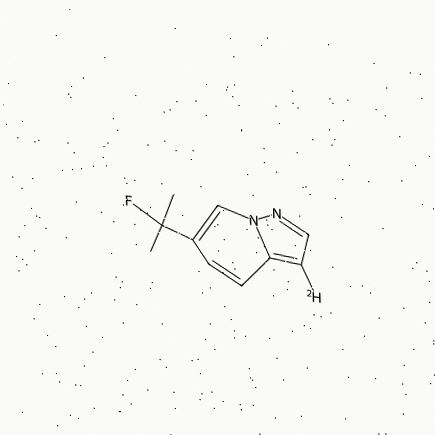 [2H]c1cnn2cc(C(C)(C)F)ccc12